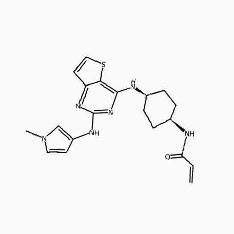 C=CC(=O)N[C@H]1CC[C@@H](Nc2nc(Nc3ccn(C)c3)nc3ccsc23)CC1